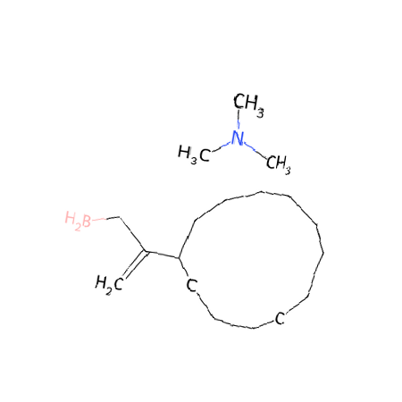 BCC(=C)C1CCCCCCCCCCC1.CN(C)C